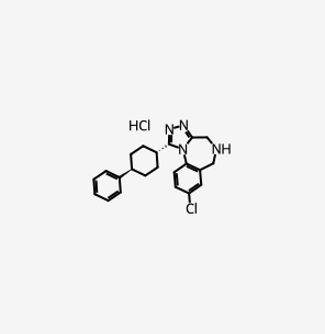 Cl.Clc1ccc2c(c1)CNCc1nnc([C@H]3CC[C@H](c4ccccc4)CC3)n1-2